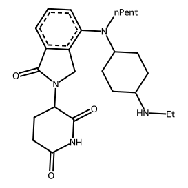 CCCCCN(c1cccc2c1CN(C1CCC(=O)NC1=O)C2=O)C1CCC(NCC)CC1